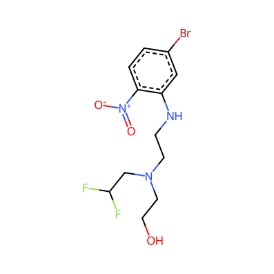 O=[N+]([O-])c1ccc(Br)cc1NCCN(CCO)CC(F)F